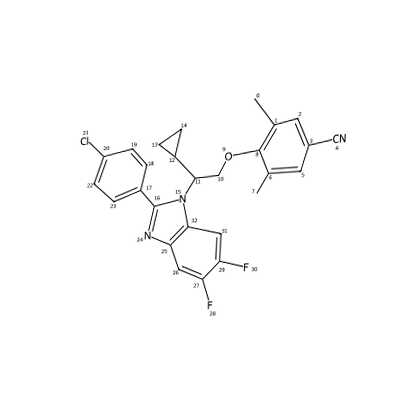 Cc1cc(C#N)cc(C)c1OCC(C1CC1)n1c(-c2ccc(Cl)cc2)nc2cc(F)c(F)cc21